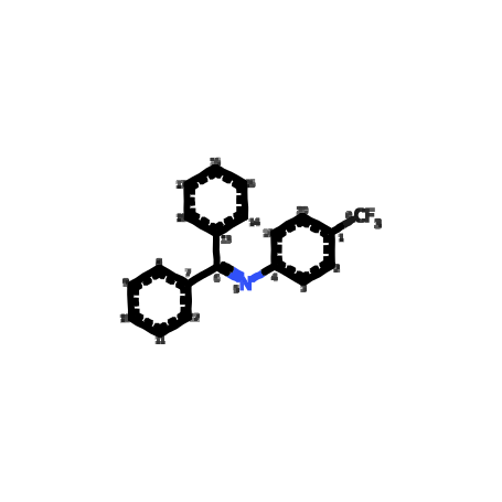 FC(F)(F)c1ccc(N=C(c2ccccc2)c2ccccc2)cc1